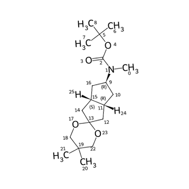 CN(C(=O)OC(C)(C)C)[C@H]1C[C@@H]2CC3(C[C@@H]2C1)OCC(C)(C)CO3